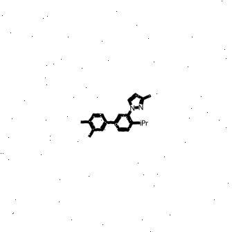 Cc1ccn(-c2cc(-c3ccc(C)c(C)c3)ccc2C(C)C)n1